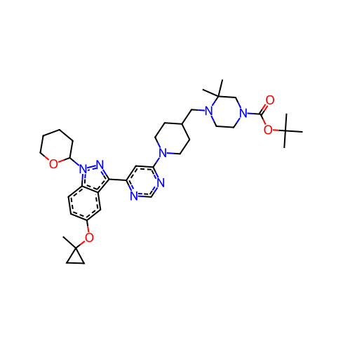 CC(C)(C)OC(=O)N1CCN(CC2CCN(c3cc(-c4nn(C5CCCCO5)c5ccc(OC6(C)CC6)cc45)ncn3)CC2)C(C)(C)C1